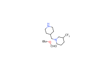 CC(C)(C)OC=O.FC(F)(F)C1CCCN(CC2CCNCC2)C1